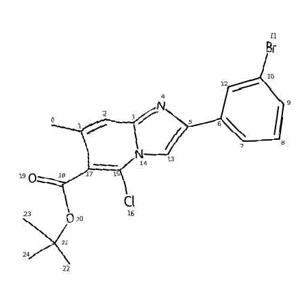 Cc1cc2nc(-c3cccc(Br)c3)cn2c(Cl)c1C(=O)OC(C)(C)C